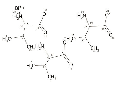 CC(C)[C@H](N)C(=O)[O-].CC(C)[C@H](N)C(=O)[O-].CC(C)[C@H](N)C(=O)[O-].[Bi+3]